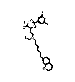 O=C(N[C@@H](CCN(CF)CCCCCCc1ccc2c(n1)NCCC2)C(=O)O)c1cc(F)cc(F)c1